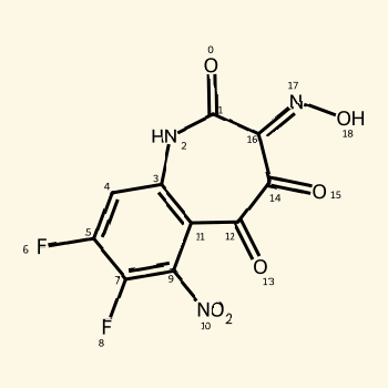 O=C1Nc2cc(F)c(F)c([N+](=O)[O-])c2C(=O)C(=O)C1=NO